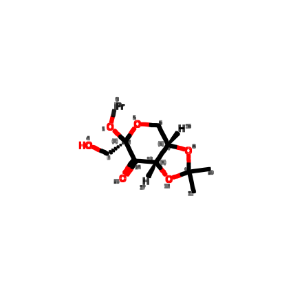 CC(C)O[C@@]1(CO)OC[C@@H]2OC(C)(C)O[C@@H]2C1=O